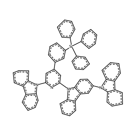 c1ccc([Si](c2ccccc2)(c2ccccc2)c2cccc(-c3cc(-n4c5ccccc5c5ccccc54)nc(-n4c5ccccc5c5cc(-n6c7ccccc7c7ccccc76)ccc54)c3)c2)cc1